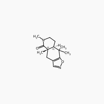 CN1CC[C@H]2C(C)(C)c3oncc3C[C@]2(C)C1=O